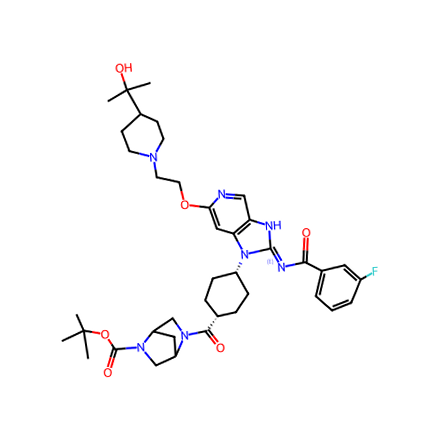 CC(C)(C)OC(=O)N1CC2CC1CN2C(=O)[C@H]1CC[C@@H](n2/c(=N/C(=O)c3cccc(F)c3)[nH]c3cnc(OCCN4CCC(C(C)(C)O)CC4)cc32)CC1